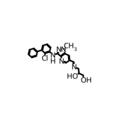 Cn1nc(Nc2cccc(-c3ccccc3)c2Cl)c2ncc(C=NCC(O)CO)cc21